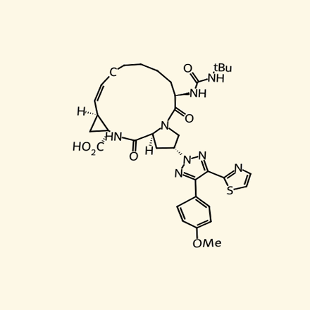 COc1ccc(-c2nn([C@@H]3C[C@H]4C(=O)N[C@@]5(C(=O)O)C[C@H]5/C=C\CCCCC[C@@H](NC(=O)NC(C)(C)C)C(=O)N4C3)nc2-c2nccs2)cc1